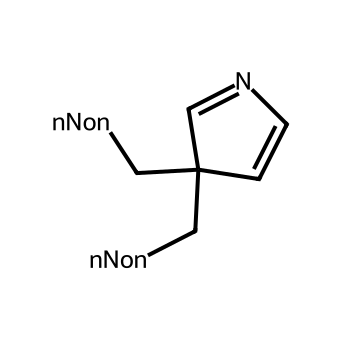 CCCCCCCCCCC1(CCCCCCCCCC)C=CN=C1